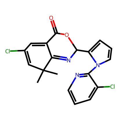 CC1(C)C=C(Cl)C=C2C(=O)OC(c3cccn3-c3ncccc3Cl)N=C21